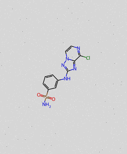 NS(=O)(=O)c1cccc(Nc2nc3c(Cl)nccn3n2)c1